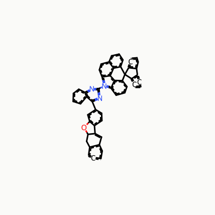 C1=C2c3ccc(-c4nc(-n5c6cccc7c6c6c8c(cccc8ccc65)C75c6ccccc6-c6ccccc65)nc5ccccc45)cc3OC2Cc2ccccc21